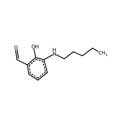 CCCCCNc1cccc(C=O)c1O